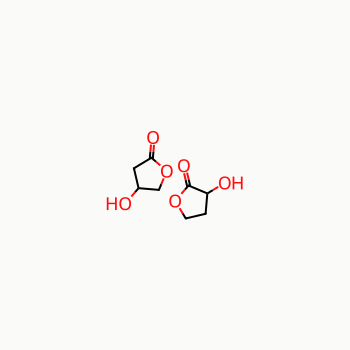 O=C1CC(O)CO1.O=C1OCCC1O